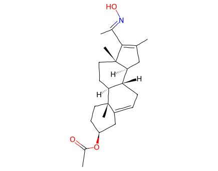 CC(=O)O[C@H]1CC[C@@]2(C)C(=CC[C@@H]3[C@@H]2CC[C@]2(C)C(/C(C)=N/O)=C(C)C[C@@H]32)C1